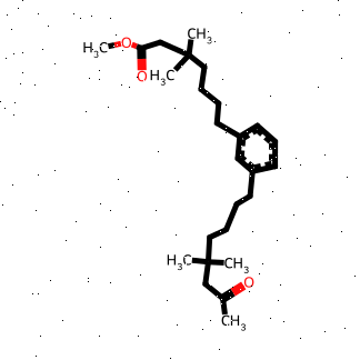 COC(=O)CC(C)(C)CCCCc1cccc(CCCCC(C)(C)CC(C)=O)c1